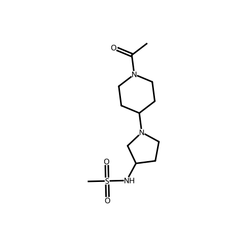 CC(=O)N1CCC(N2CCC(NS(C)(=O)=O)C2)CC1